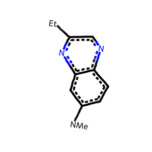 CCc1cnc2ccc(NC)cc2n1